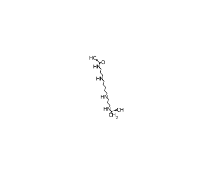 C#CC(=C)NCCCNCCCCCNCCCNC(=O)C#C